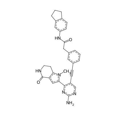 Cn1c(-c2nc(N)ncc2C#Cc2cccc(CC(=O)Nc3ccc4c(c3)CCC4)c2)cc2c1CCNC2=O